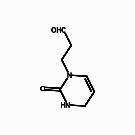 O=CCCN1C=CCNC1=O